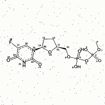 COP(=O)(O)OP(=O)(O)OC[C@@H]1CC[C@H](n2cc(F)c(=O)[nH]c2=O)O1